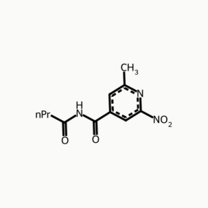 CCCC(=O)NC(=O)c1cc(C)nc([N+](=O)[O-])c1